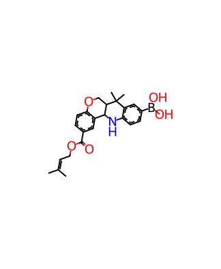 CC(C)=CCOC(=O)c1ccc2c(c1)C1Nc3ccc(B(O)O)cc3C(C)(C)C1CO2